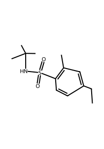 CCc1ccc(S(=O)(=O)NC(C)(C)C)c(C)c1